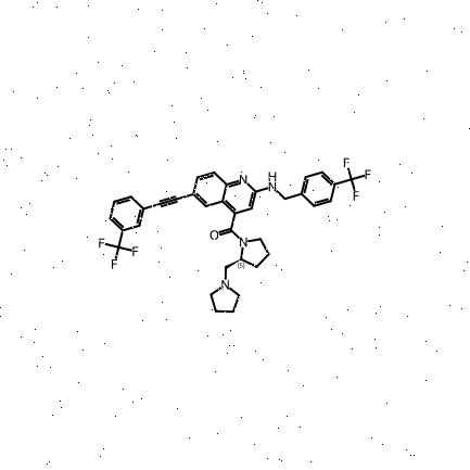 O=C(c1cc(NCc2ccc(C(F)(F)F)cc2)nc2ccc(C#Cc3cccc(C(F)(F)F)c3)cc12)N1CCC[C@H]1CN1CCCC1